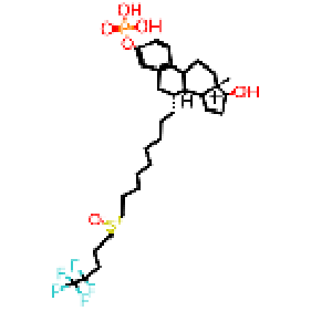 C[C@]12CCC3c4ccc(OP(=O)(O)O)cc4C[C@@H](CCCCCCCCC[S+]([O-])CCCC(F)(F)C(F)(F)F)[C@H]3[C@@H]1CC[C@@H]2O